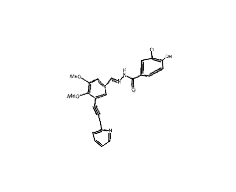 COc1cc(/C=N/NC(=O)c2ccc(O)c(Cl)c2)cc(C#Cc2ccccn2)c1OC